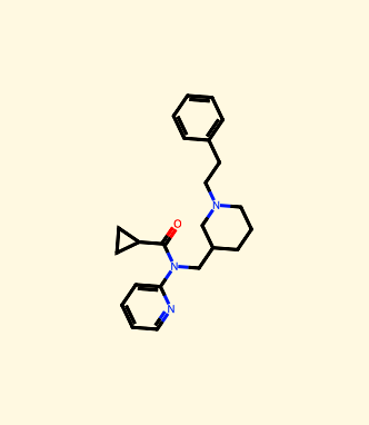 O=C(C1CC1)N(CC1CCCN(CCc2ccccc2)C1)c1ccccn1